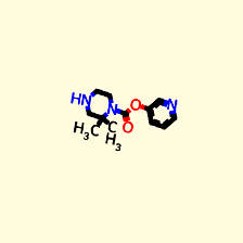 CC1(C)CNCCN1C(=O)Oc1cccnc1